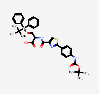 CC(C)(C)OC(=O)Nc1ccc(-c2nc(C(=O)NC(CO[Si](c3ccccc3)(c3ccccc3)C(C)(C)C)C(=O)O)cs2)cc1